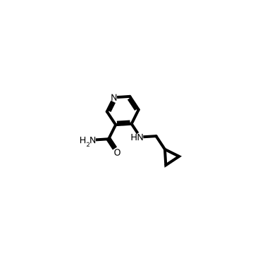 NC(=O)c1cnccc1NCC1CC1